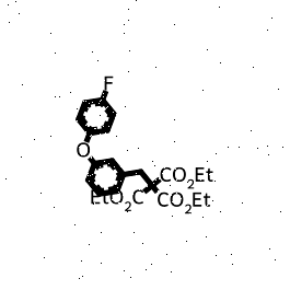 CCOC(=O)C(Cc1cccc(Oc2ccc(F)cc2)c1)(C(=O)OCC)C(=O)OCC